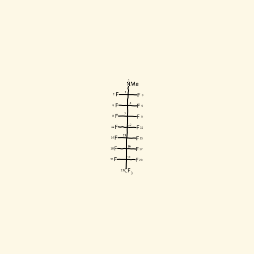 CNC(F)(F)C(F)(F)C(F)(F)C(F)(F)C(F)(F)C(F)(F)C(F)(F)C(F)(F)F